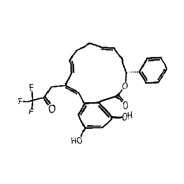 O=C1O[C@@H](c2ccccc2)C/C=C/CC/C=C/C(CC(=O)C(F)(F)F)=C/c2cc(O)cc(O)c21